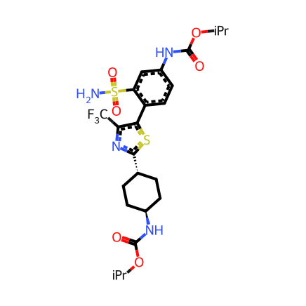 CC(C)OC(=O)Nc1ccc(-c2sc([C@H]3CC[C@H](NC(=O)OC(C)C)CC3)nc2C(F)(F)F)c(S(N)(=O)=O)c1